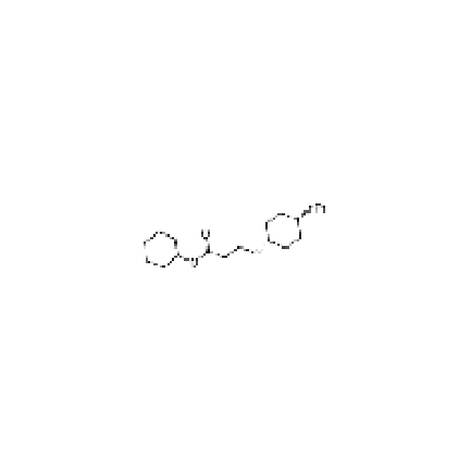 CCC[C@H]1CC[C@H](CCCC(=O)OC2CCCCC2)CC1